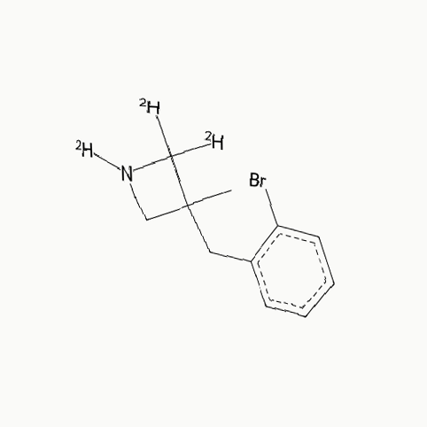 [2H]N1CC(C)(Cc2ccccc2Br)C1([2H])[2H]